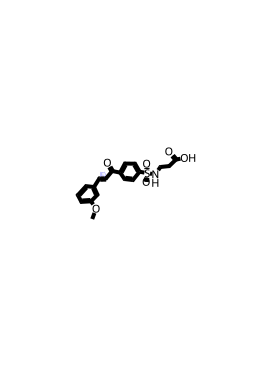 COc1cccc(/C=C/C(=O)c2ccc(S(=O)(=O)NCCC(=O)O)cc2)c1